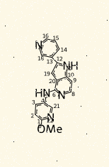 COc1ccc(Nc2nccc3[nH]c(-c4cccnc4)cc23)cn1